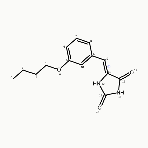 CCCCOc1cccc(/C=C2\NC(=O)NC2=O)c1